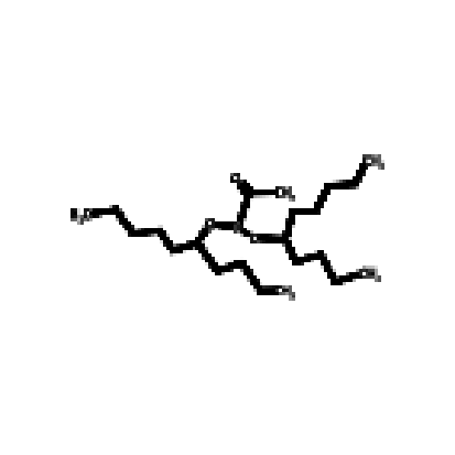 CCCCCC(CCCC)ON(OC(CCCC)CCCCC)C(C)=O